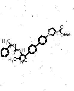 COC(=O)[C@H]1CCN(c2ccc(-c3ccc(-c4onc(C)c4NC(=O)O[C@H](C)c4ccccc4)cc3)cc2)C1